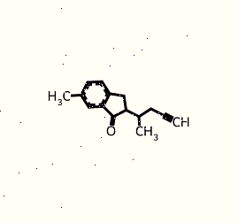 C#CCC(C)C1Cc2ccc(C)cc2C1=O